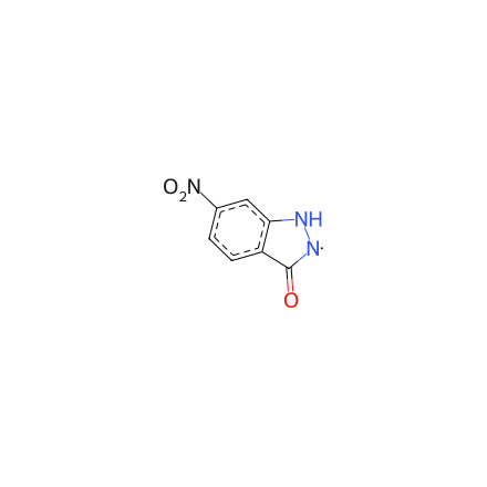 O=C1[N]Nc2cc([N+](=O)[O-])ccc21